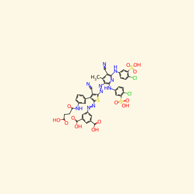 Cc1c(C#N)c(Nc2ccc(Cl)c(S(=O)(=O)O)c2)nc(Nc2ccc(Cl)c(S(=O)(=O)O)c2)c1N=Nc1sc(N=Nc2cc(C(=O)O)cc(C(=O)O)c2)c(-c2cccc(NC(=O)CCC(=O)O)c2)c1C#N